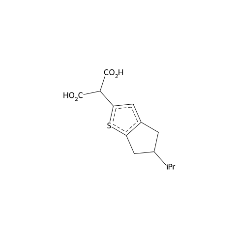 CC(C)C1Cc2cc(C(C(=O)O)C(=O)O)sc2C1